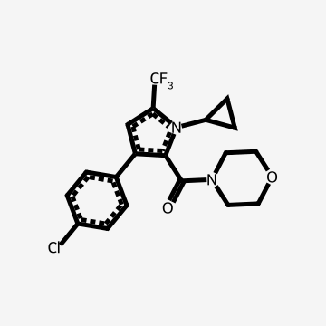 O=C(c1c(-c2ccc(Cl)cc2)cc(C(F)(F)F)n1C1CC1)N1CCOCC1